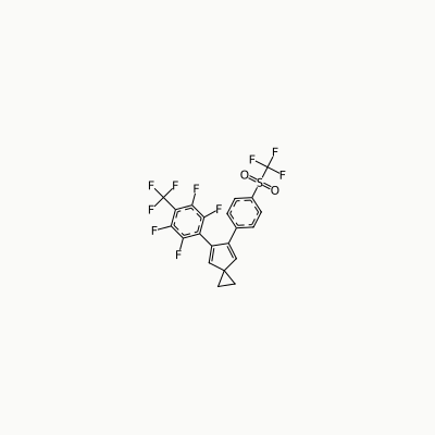 O=S(=O)(c1ccc(C2=CC3(C=C2c2c(F)c(F)c(C(F)(F)F)c(F)c2F)CC3)cc1)C(F)(F)F